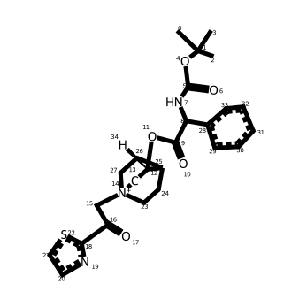 CC(C)(C)OC(=O)NC(C(=O)O[C@H]1C[N+]2(CC(=O)c3nccs3)CCC1CC2)c1ccccc1